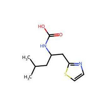 CC(C)CC(Cc1nccs1)NC(=O)O